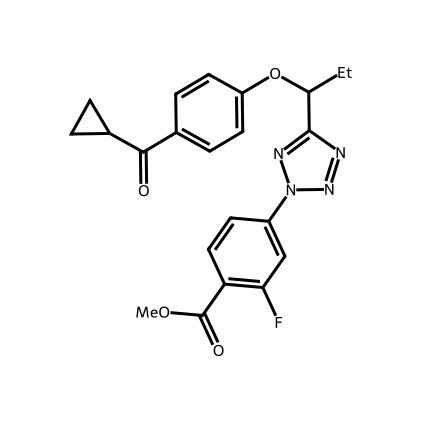 CCC(Oc1ccc(C(=O)C2CC2)cc1)c1nnn(-c2ccc(C(=O)OC)c(F)c2)n1